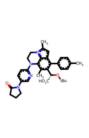 Cc1ccc(-c2c([C@H](OC(C)(C)C)C(=O)O)c(C)c3c4c2cc(C)n4CCN3c2ccc(N3CCCC3=O)cn2)cc1